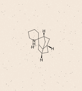 C1CCC2(NC1)[C@H]1C[C@H]3C[C@H](C1)C[C@H]2C3